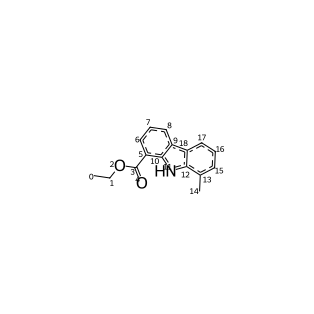 CCOC(=O)c1cccc2c1[nH]c1c(C)cccc12